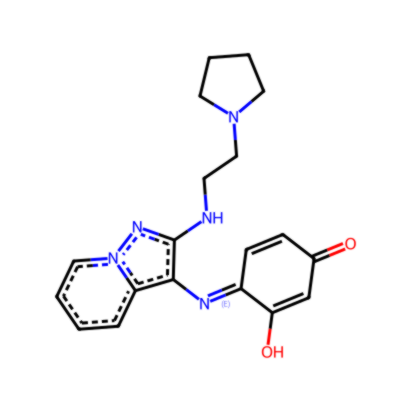 O=C1C=C/C(=N\c2c(NCCN3CCCC3)nn3ccccc23)C(O)=C1